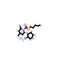 CCCCCOC(=O)N1CCC(C)CC1C.NC1CCCCC1